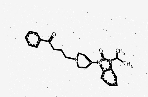 CC(C)n1c(=O)n(C2=CCN(CCCC(=O)c3ccccc3)CC2)c2ccccc21